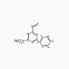 C=Cc1cccc(C(=O)O)c1.c1ccccc1